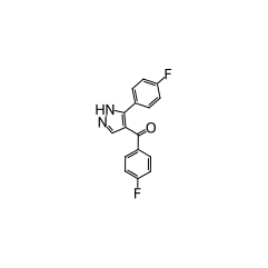 O=C(c1ccc(F)cc1)c1cn[nH]c1-c1ccc(F)cc1